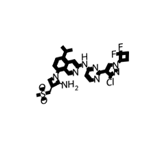 CC(C)c1ccc(N2C[C@H](CS(C)(=O)=O)[C@H]2N)c2cnc(Nc3ccnc(-c4cn(C5CCC5(F)F)nc4Cl)n3)cc12